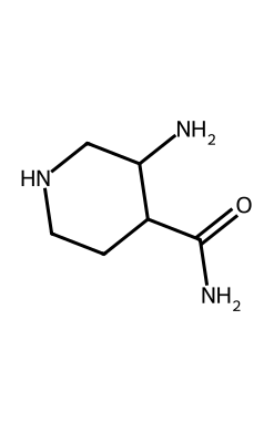 NC(=O)C1CCNCC1N